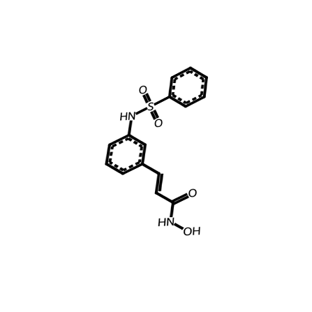 O=C(C=Cc1cccc(NS(=O)(=O)c2ccccc2)c1)NO